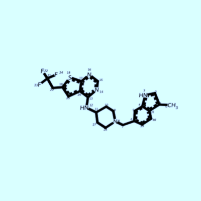 Cc1c[nH]c2cc(CN3CCC(Nc4ncnc5sc(CC(F)(F)F)cc45)CC3)ccc12